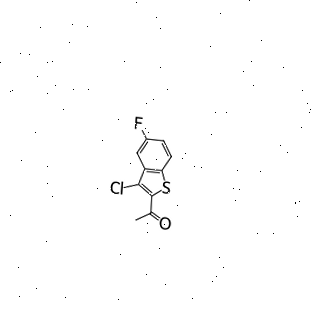 CC(=O)c1sc2ccc(F)cc2c1Cl